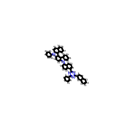 c1ccc(-c2nc(-c3ccc4ccccc4c3)nc(-c3cccc4c(-n5c6ccccc6c6c7c8c9ccccc9ccc8n(-c8ccccc8)c7ccc65)cccc34)n2)cc1